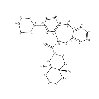 O=C([C@@H]1CC[C@@H]2OCCC[C@H]2C1)N1Cc2cccnc2Nc2ccc(N3CCOCC3)cc21